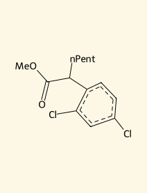 CCCCCC(C(=O)OC)c1ccc(Cl)cc1Cl